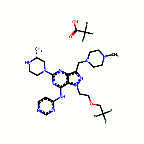 C[C@@H]1CN(c2nc(Nc3ccncn3)c3c(n2)c(CN2CCN(C)CC2)nn3CCOCC(F)(F)F)CCN1.O=C(O)C(F)(F)F